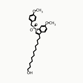 COc1ccc(CS(=O)(=O)n2cc(CCCCCCCCCCCCO)c3ccc(OC)cc32)cc1